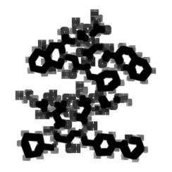 CC(C)(C)NC(=O)[C@@H]1C[C@@H]2CCCC[C@@H]2CN1C[C@@H](O)[C@H](Cc1ccccc1)NC(=O)[C@H](CC(N)=O)NC(=O)c1ccc2ccccc2n1.COC(=O)N[C@H](C(=O)N[C@@H](Cc1ccccc1)[C@@H](O)CN(Cc1ccc(-c2ccccn2)cc1)NC(=O)[C@@H](NC(=O)OC)C(C)(C)C)C(C)(C)C